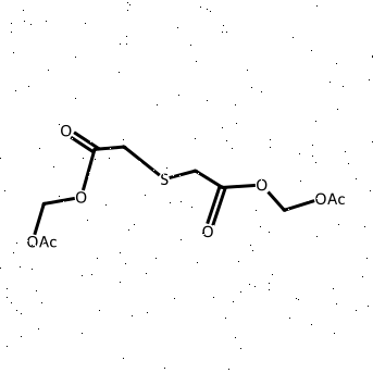 CC(=O)OCOC(=O)CSCC(=O)OCOC(C)=O